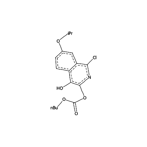 CCCCOC(=O)Oc1nc(Cl)c2cc(OC(C)C)ccc2c1O